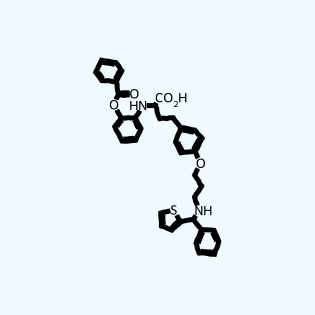 O=C(Oc1ccccc1NC(CCc1ccc(OCCCNC(c2ccccc2)c2cccs2)cc1)C(=O)O)c1ccccc1